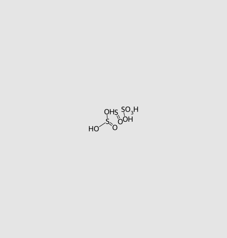 O=S.O=S(=O)(O)O.O=S(O)O